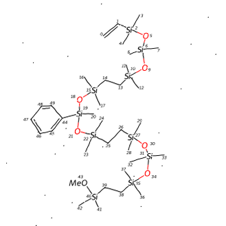 C=C[Si](C)(C)O[Si](C)(C)O[Si](C)(C)CC[Si](C)(C)O[Si](C)(O[Si](C)(C)CC[Si](C)(C)O[Si](C)(C)O[Si](C)(C)CC[Si](C)(C)OC)c1ccccc1